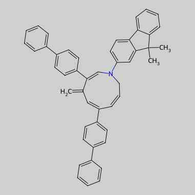 C=C1/C=C(c2ccc(-c3ccccc3)cc2)\C=C/CN(c2ccc3c(c2)C(C)(C)c2ccccc2-3)/C=C\1c1ccc(-c2ccccc2)cc1